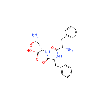 NC(=O)C[C@H](NC(=O)[C@H](Cc1ccccc1)NC(=O)[C@@H](N)Cc1ccccc1)C(=O)O